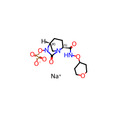 O=C(NOC1CCOCC1)[C@@H]1CC[C@@H]2CN1C(=O)N2OS(=O)(=O)[O-].[Na+]